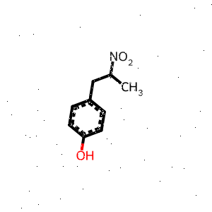 C[C](Cc1ccc(O)cc1)[N+](=O)[O-]